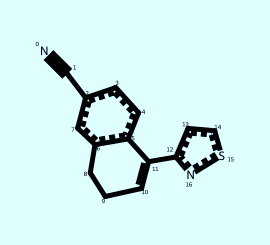 N#Cc1ccc2c(c1)CCC=C2c1ccsn1